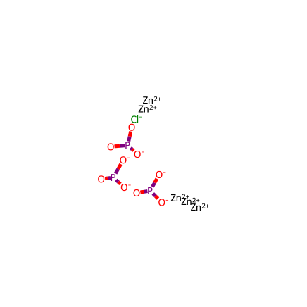 [Cl-].[O-]P([O-])[O-].[O-]P([O-])[O-].[O-]P([O-])[O-].[Zn+2].[Zn+2].[Zn+2].[Zn+2].[Zn+2]